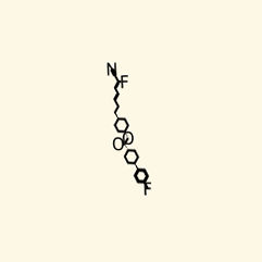 N#CC(F)=CC=CCC[C@H]1CC[C@H](OC(=O)[C@H]2CC[C@H](c3ccc(F)cc3)CC2)CC1